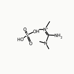 CN(C)C(N)=[N+](C)C.O=S(=O)(O)O